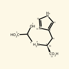 CC(O)C(=O)O.N[C@@H](Cc1c[nH]cn1)C(=O)O